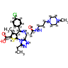 CCc1nnc2n1-c1sc(C(=O)O)c(C)c1C(c1ccc(Cl)cc1)=N[C@@H]2CC(=O)NCCCN1CCN(C)CC1